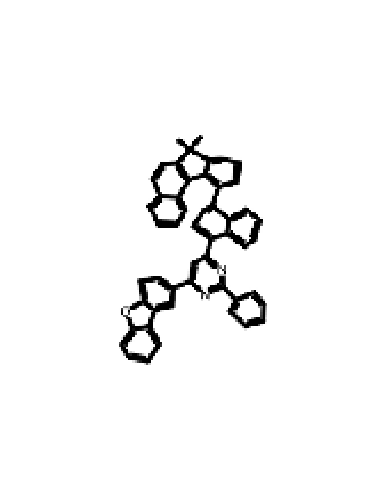 CC1(C)c2cccc(-c3ccc(-c4cc(-c5ccc6oc7ccccc7c6c5)nc(-c5ccccc5)n4)c4ccccc34)c2-c2c1ccc1ccccc21